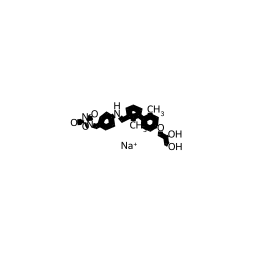 Cc1cc(OC[C@@H](O)CO)ccc1-c1cccc(CNc2ccc(Cn3oc(=O)[n-]c3=O)cc2)c1C.[Na+]